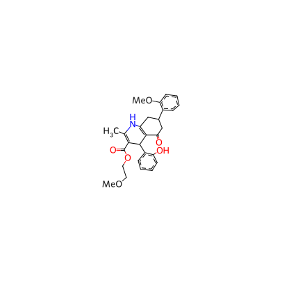 COCCOC(=O)C1=C(C)NC2=C(C(=O)CC(c3ccccc3OC)C2)C1c1ccccc1O